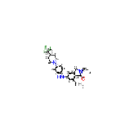 Cc1cc(Nc2ccc(N3CCC(C(F)(F)F)CC3)cc2)cc2c1C(=O)N(C)C2